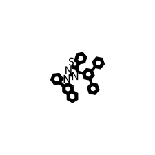 c1ccc(-c2cc(-c3ccccc3)cc(-c3nc(-n4c5ccccc5c5cc6ccccc6cc54)nc4sc5ccccc5c34)c2)cc1